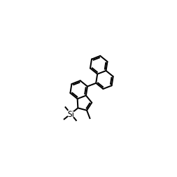 CC1=Cc2c(-c3cccc4ccccc34)cccc2C1[Si](C)(C)C